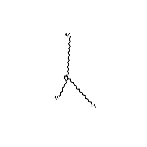 CCCCCCCCCCCCCCCCCC[n+]1ccn(CCCCCCCC)c1CCCCCCCCCCCCCCCC